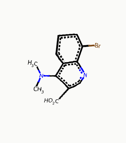 CN(C)c1c(C(=O)O)cnc2c(Br)cccc12